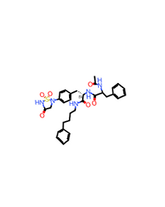 CC(=O)NC(Cc1ccccc1)C(=O)N[C@@H](Cc1ccc(N2CC(=O)NS2(=O)=O)cc1)C(=O)NCCCCc1ccccc1